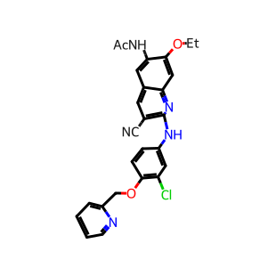 CCOc1cc2nc(Nc3ccc(OCc4ccccn4)c(Cl)c3)c(C#N)cc2cc1NC(C)=O